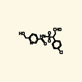 O=CCC(c1ccc(Cl)cc1)S(=O)(=O)NC(=O)c1ccc(CO)nc1